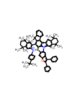 CC(C)(C)c1ccc(Nc2cc3c(cc2-c2c4c(c5c6cc7c(cc6n6c5c2Bc2cc5oc(-c8ccccc8)c(-c8ccccc8)c5cc2-6)C(C)(C)CCC7(C)C)-c2ccccc2C4(C)C)C(C)(C)CCC3(C)C)cc1